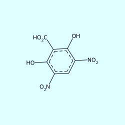 O=C(O)c1c(O)c([N+](=O)[O-])cc([N+](=O)[O-])c1O